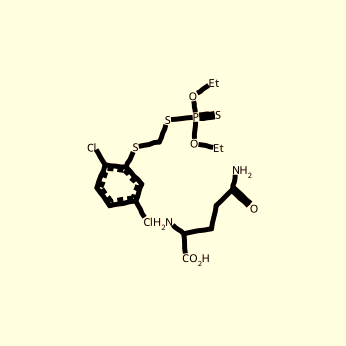 CCOP(=S)(OCC)SCSc1cc(Cl)ccc1Cl.NC(=O)CCC(N)C(=O)O